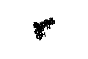 C=CC(=O)Nc1cccc(-n2c(=O)n(-c3ccc(C(=O)Nc4cccc(C)c4)cc3)c3cnccc32)c1